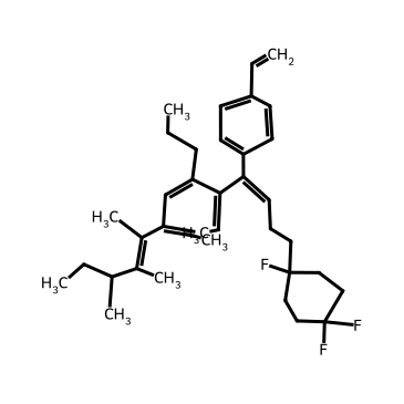 C=Cc1ccc(C(=C/CCC2(F)CCC(F)(F)CC2)/C(=C/C)C(=C\C(=C/C)C(\C)=C(/C)C(C)CC)/CCC)cc1